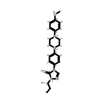 CC[C@H](C)n1ncn(-c2ccc(N3CCN(c4ccc(OC)cc4)CC3)cc2)c1=O